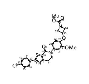 COc1cc(N2CCc3nc(-c4ccc(Cl)cc4)sc3C2=O)ccc1OC1CN(C(=O)OC(C)(C)C)C1